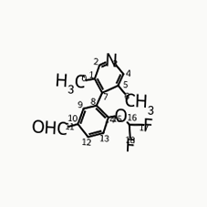 Cc1cncc(C)c1-c1cc(C=O)ccc1OC(F)F